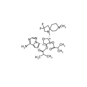 CC(C)C(=O)O[C@@H]1[C@H](OC(=O)C(C)C)[C@@H](CN2CC(F)(F)CC23CCN(C)CC3)O[C@H]1c1ccc2c(N)ncnn12